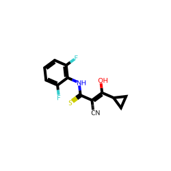 N#CC(C(=S)Nc1c(F)cccc1F)=C(O)C1CC1